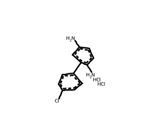 Cl.Cl.Nc1ccc(N)c(-c2ccc(Cl)cc2)c1